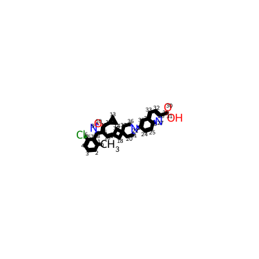 Cc1cccc(Cl)c1-c1noc(C2CC2)c1C=C1CC2(CCN(c3ccc4nc(C(=O)O)ccc4c3)CC2)C1